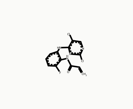 C=CC(=O)Nc1c(F)cccc1Nc1nc(Cl)ncc1Cl